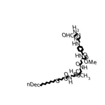 CCCCCCCCCCCCCCCCCCOCCCOC(=O)NCCOOC(C)(C)CCNC(=O)CC[C@H](NC(=O)c1ccc(NCc2cnc(N)c(C=O)n2)cc1)C(=O)OC